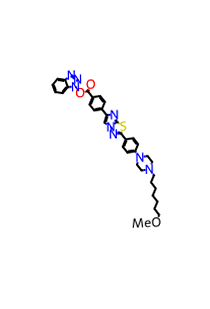 COCCCCCCCN1CCN(c2ccc(-c3nn4cc(-c5ccc(C(=O)On6nnc7ccccc76)cc5)nc4s3)cc2)CC1